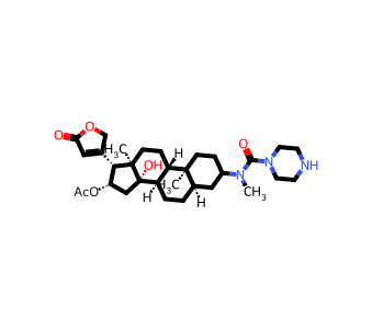 CC(=O)O[C@H]1C[C@]2(O)[C@@H]3CC[C@@H]4CC(N(C)C(=O)N5CCNCC5)CC[C@]4(C)[C@H]3CC[C@]2(C)[C@H]1C1=CC(=O)OC1